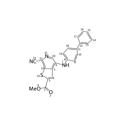 COC(=O)c1cc2c(Nc3ccc(-c4ccccc4)cc3)cnc(C#N)c2s1